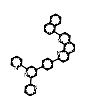 c1ccc(-c2cc(-c3ccc(-c4ccc5ccc6ccc(-c7cccc8ccccc78)nc6c5n4)cc3)cc(-c3ccccn3)n2)nc1